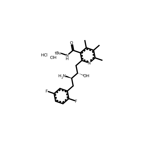 Cc1nc(C[C@H](O)[C@H](N)Cc2cc(F)ccc2F)c(C(=O)NC(C)(C)C)c(C)c1C.Cl.Cl